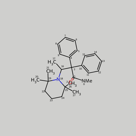 CNC(=O)C(c1ccccc1)(c1ccccc1)C(C)N1C(C)(C)CCCC1(C)C